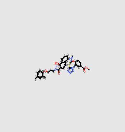 COC(=O)c1cccc(-n2nnnc2SC(=O)N(C)c2cccc3c(O)c(C(=O)NCCCOc4ccc(C)cc4C)ccc23)c1